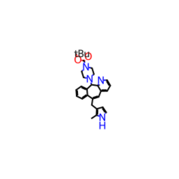 Cc1[nH]ccc1CC1=Cc2cccnc2C(N2CCN(C(=O)OC(C)(C)C)CC2)c2ccccc21